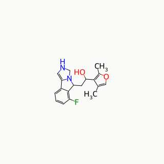 Cc1coc(C)c1C(O)CC1c2c(F)cccc2C2=CNCN21